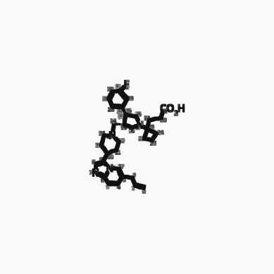 C=CCc1ccc2ncc(C3CCN(C[C@H]4CN(C5(CCC(=O)O)CCC5)C[C@@H]4c4cccc(F)c4)CC3)n2c1